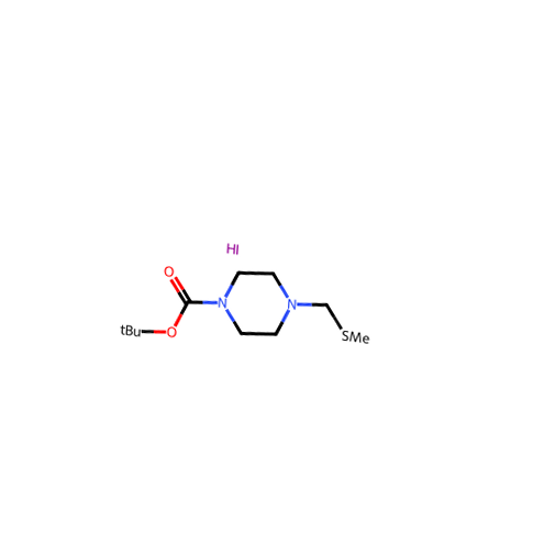 CSCN1CCN(C(=O)OC(C)(C)C)CC1.I